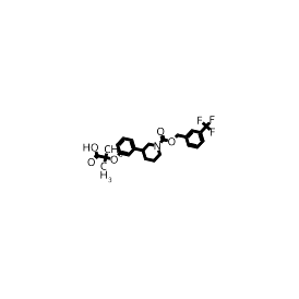 CC(C)(Oc1cccc(C2CCCN(C(=O)OCc3cccc(C(F)(F)F)c3)C2)c1)C(=O)O